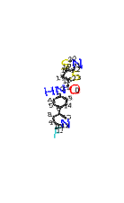 O=C(Nc1ccc(-c2ccc(F)nc2)cc1)c1cc2scnc2s1